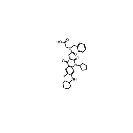 O=C(O)CN(Cc1ccccc1)C(=O)Cn1c(=O)c2cc(F)c(NC3CCCCC3)cc2n(C2CCCC2)c1=O